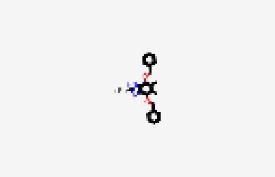 CCCCc1nc2c(OCc3ccccc3)c(C)c(C)c(OCc3ccccc3)c2[nH]1